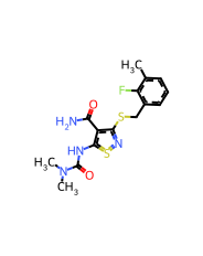 Cc1cccc(CSc2nsc(NC(=O)N(C)C)c2C(N)=O)c1F